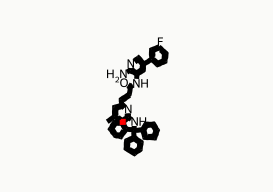 Cc1cc(/C=C/C(=O)Nc2cc(-c3cccc(F)c3)cnc2N)nc(NC(c2ccccc2)(c2ccccc2)c2ccccc2)c1